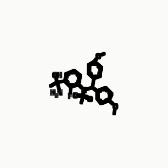 COc1ccc(C(c2ccc(OC)cc2)N(c2cccc(C(C)(N)O)c2F)S(C)(=O)=O)cc1